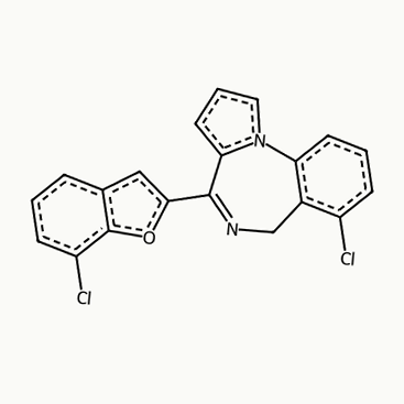 Clc1cccc2c1CN=C(c1cc3cccc(Cl)c3o1)c1cccn1-2